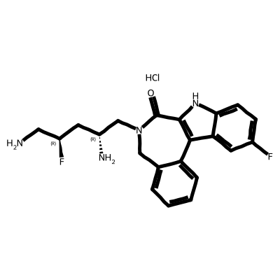 Cl.NC[C@H](F)C[C@@H](N)CN1Cc2ccccc2-c2c([nH]c3ccc(F)cc23)C1=O